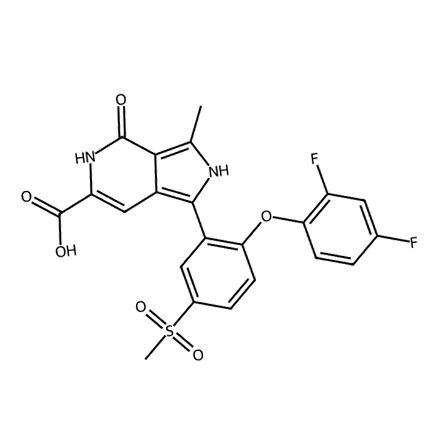 Cc1[nH]c(-c2cc(S(C)(=O)=O)ccc2Oc2ccc(F)cc2F)c2cc(C(=O)O)[nH]c(=O)c12